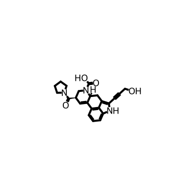 O=C([C@@H]1C=C2c3cccc4[nH]c(C#CCO)c(c34)C[C@H]2N(C(=O)O)C1)N1CCCC1